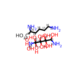 NC(O)C(O)(O)C(O)(O)C(O)(O)N(O)O.NCCCCC(N)C(=O)O